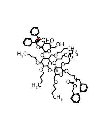 CCCCOCC1O[C@H](O[C@H]2C(COCCCC)O[C@H](OCCN(Cc3ccccc3)C(=O)OCc3ccccc3)C(OCCCC)[C@H]2OCCCC)C(OCCCC)[C@@H](OCCCC)[C@@H]1O[C@@H]1OC(CO)[C@@H](O)C(OC(=O)c2ccccc2)[C@@H]1OC(=O)c1ccccc1